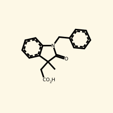 CC1(CC(=O)O)C(=O)N(Cc2ccccc2)c2ccccc21